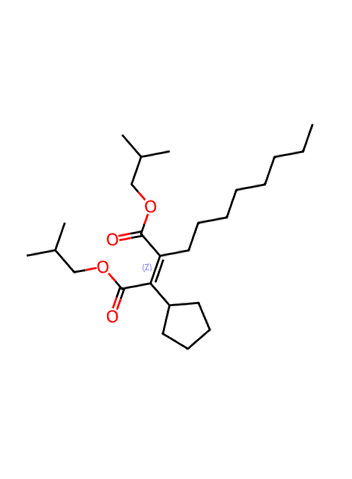 CCCCCCCC/C(C(=O)OCC(C)C)=C(/C(=O)OCC(C)C)C1CCCC1